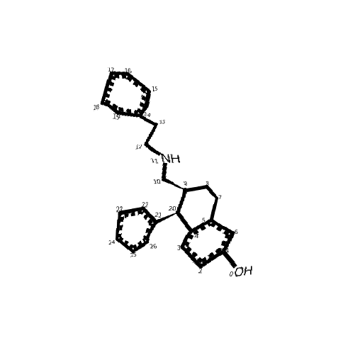 Oc1ccc2c(c1)CC[C@H](CNCCc1ccccc1)[C@@H]2c1ccccc1